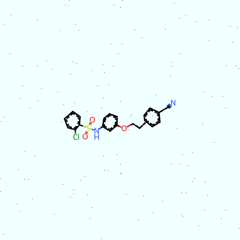 N#Cc1ccc(CCOc2cccc(NS(=O)(=O)c3ccccc3Cl)c2)cc1